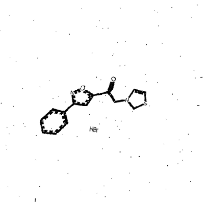 Br.O=C(CN1C=CSC1)c1cc(-c2ccccc2)no1